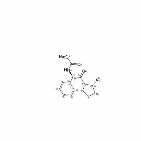 COC(=O)N[C@@H](C(=O)N1CCC[C@H]1C(C)=O)c1ccccc1